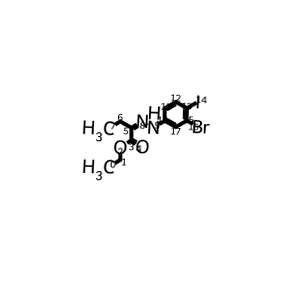 CCOC(=O)/C(CC)=N\Nc1ccc(I)c(Br)c1